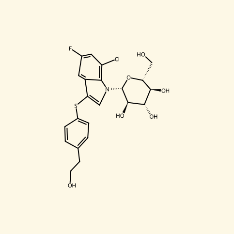 OCCc1ccc(Sc2cn([C@@H]3O[C@H](CO)[C@@H](O)[C@H](O)[C@H]3O)c3c(Cl)cc(F)cc23)cc1